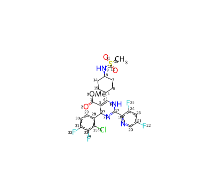 COC(=O)C1=C([C@H]2CC[C@H](NS(C)(=O)=O)CC2)NC(c2ncc(F)cc2F)=NC1c1ccc(F)c(F)c1Cl